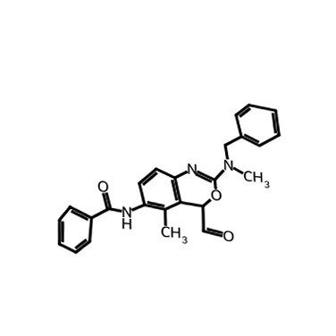 Cc1c(NC(=O)c2ccccc2)ccc2c1C(C=O)OC(N(C)Cc1ccccc1)=N2